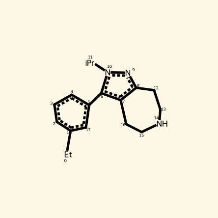 CCc1cccc(-c2c3c(nn2C(C)C)CCNCC3)c1